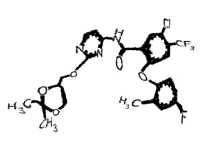 Cc1cc(F)ccc1Oc1cc(C(F)(F)F)c(Cl)cc1C(=O)Nc1ccnc(OCC2COC(C)(C)O2)n1